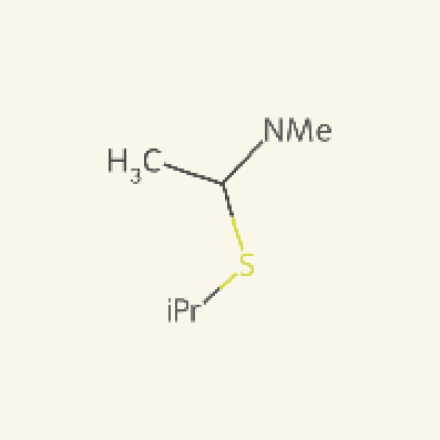 CNC(C)SC(C)C